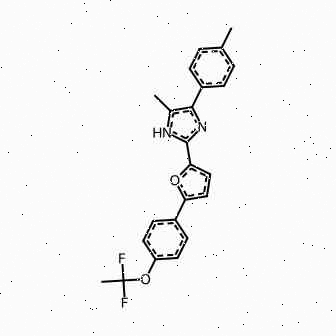 Cc1ccc(-c2nc(-c3ccc(-c4ccc(OC(C)(F)F)cc4)o3)[nH]c2C)cc1